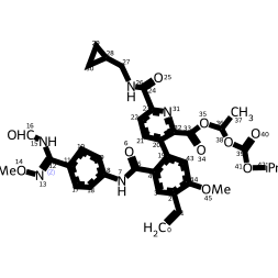 C=Cc1cc(C(=O)Nc2ccc(/C(=N/OC)NC=O)cc2)c(-c2ccc(C(=O)NCC3CC3)nc2C(=O)OC(C)OC(=O)OC(C)C)cc1OC